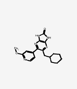 COc1cc(-c2nc3[nH]c(=O)[nH]c3nc2CC2CCCCC2)ccn1